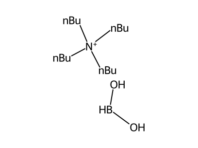 CCCC[N+](CCCC)(CCCC)CCCC.OBO